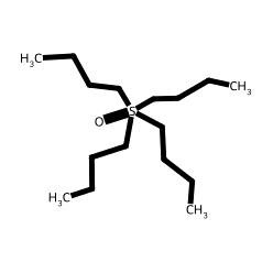 CCCCS(=O)(CCCC)(CCCC)CCCC